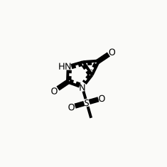 CS(=O)(=O)n1c(=O)[nH]c2c(=O)c21